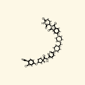 N#Cc1ccc(OC2CCC(F)(C(=O)Nc3ccc(N4CCC(CN5CCN(c6ccc7c(c6)C(=O)N(C6CCC(=O)NC6=O)C7=O)CC5)CC4)nn3)C2)cc1Cl